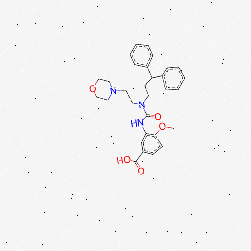 COc1ccc(C(=O)O)cc1NC(=O)N(CCC(c1ccccc1)c1ccccc1)CCN1CCOCC1